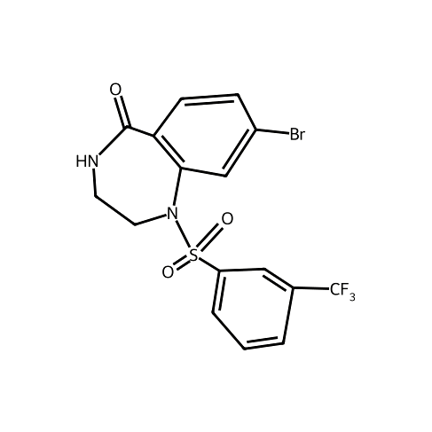 O=C1NCCN(S(=O)(=O)c2cccc(C(F)(F)F)c2)c2cc(Br)ccc21